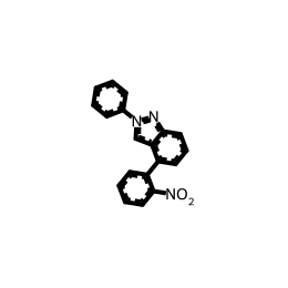 O=[N+]([O-])c1ccccc1-c1cccc2nn(-c3ccccc3)cc12